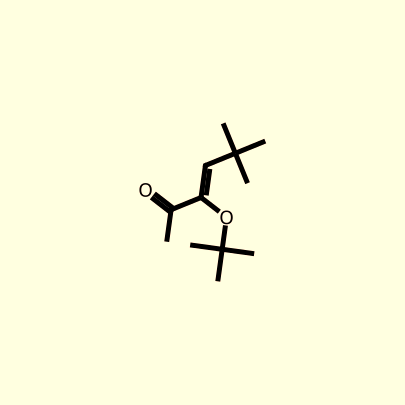 CC(=O)/C(=C/C(C)(C)C)OC(C)(C)C